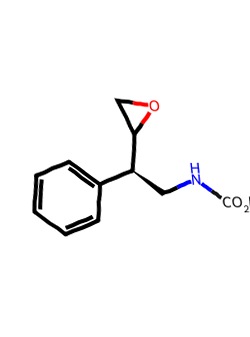 O=C(O)NC[C@@H](c1ccccc1)C1CO1